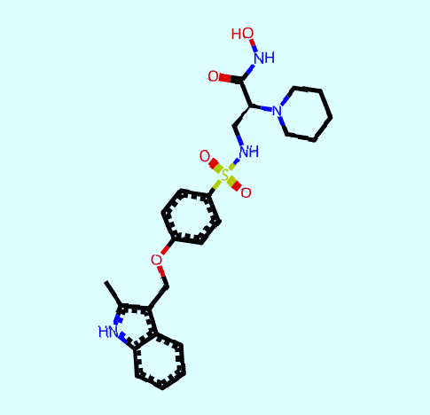 Cc1[nH]c2ccccc2c1COc1ccc(S(=O)(=O)NC[C@@H](C(=O)NO)N2CCCCC2)cc1